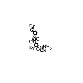 CC(C)c1cc(N2C(=O)CN(c3cccc(OC(F)F)c3)C2=O)ccc1Oc1ccnc(N)n1